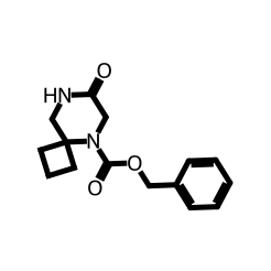 O=C1CN(C(=O)OCc2ccccc2)C2(CCC2)CN1